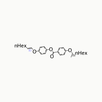 CCCCCC/C=C/Oc1ccc(OC(=O)c2ccc(O[C@@H](C)CCCCCC)cc2)cc1